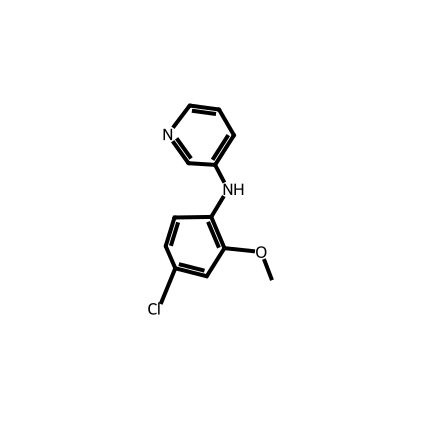 COc1cc(Cl)ccc1Nc1cccnc1